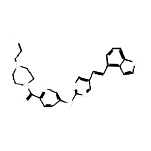 O=C(c1ccc(Nc2ncc(C=Cc3cccc4[nH]ccc34)cn2)cn1)N1CCN(CCO)CC1